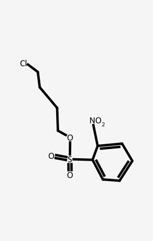 O=[N+]([O-])c1ccccc1S(=O)(=O)OCCCCCl